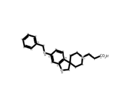 O=C(O)CCN1CCC2(CC1)COc1cc(OCc3ccccc3)ccc12